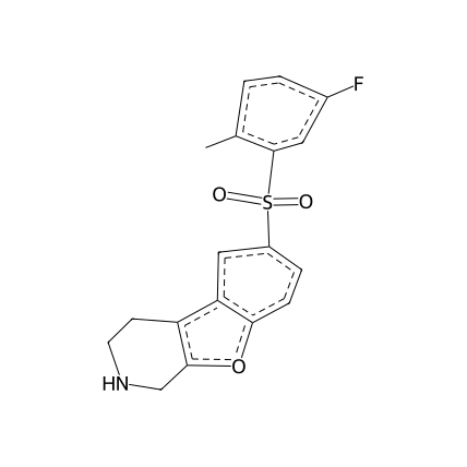 Cc1ccc(F)cc1S(=O)(=O)c1ccc2oc3c(c2c1)CCNC3